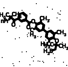 BCC(C)(C)Oc1c(C)cc(-c2cc(C)c(OC(=O)c3cccc(C(=O)C(C)(C)CCC)c3)c(C)c2)cc1C